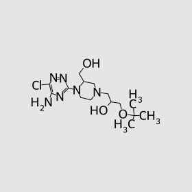 CC(C)(C)OCC(O)CN1CCN(c2nnc(Cl)c(N)n2)C(CO)C1